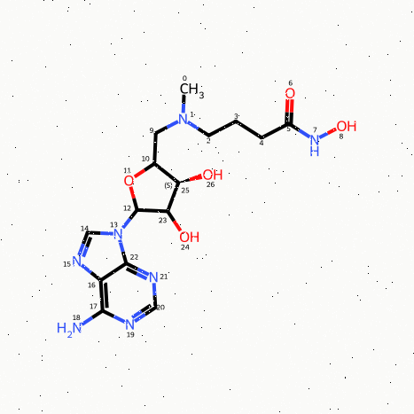 CN(CCCC(=O)NO)CC1OC(n2cnc3c(N)ncnc32)C(O)[C@@H]1O